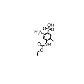 CCOC(=O)Nc1cc(N)c(S(=O)(=O)O)cc1C